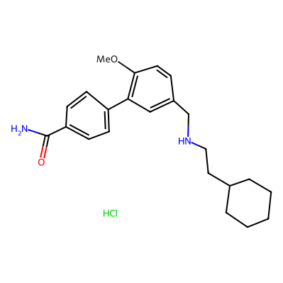 COc1ccc(CNCCC2CCCCC2)cc1-c1ccc(C(N)=O)cc1.Cl